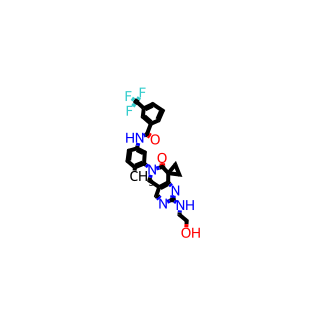 Cc1ccc(NC(=O)c2cccc(C(F)(F)F)c2)cc1N1Cc2cnc(NCCO)nc2C2(CC2)C1=O